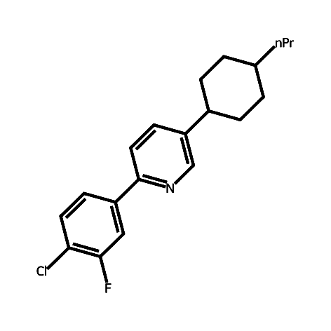 CCCC1CCC(c2ccc(-c3ccc(Cl)c(F)c3)nc2)CC1